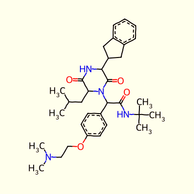 CC(C)CC1C(=O)NC(C2Cc3ccccc3C2)C(=O)N1C(C(=O)NC(C)(C)C)c1ccc(OCCN(C)C)cc1